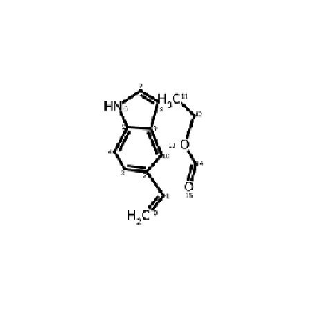 C=Cc1ccc2[nH]ccc2c1.CCOC=O